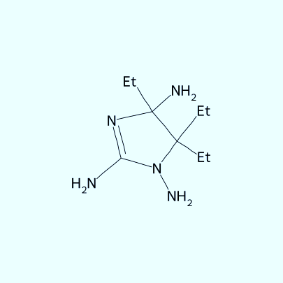 CCC1(N)N=C(N)N(N)C1(CC)CC